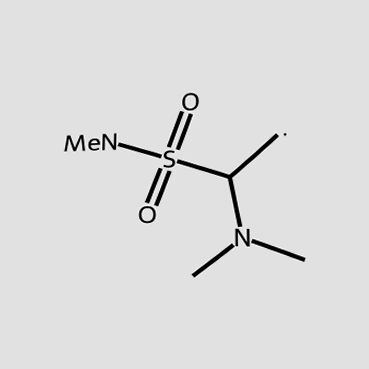 [CH2]C(N(C)C)S(=O)(=O)NC